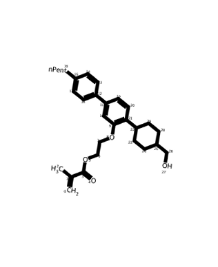 C=C(C)C(=O)OCCOc1cc(-c2ccc(CCCCC)cc2)ccc1C1CCC(CO)CC1